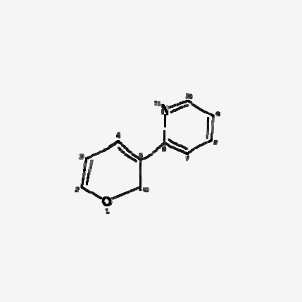 [CH]1OC=CC=C1c1ccccn1